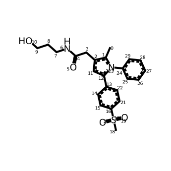 Cc1c(CC(=O)NCCCO)cc(-c2ccc(S(C)(=O)=O)cc2)n1-c1ccccc1